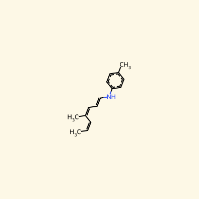 C\C=C/C(C)=C\C=C\Nc1ccc(C)cc1